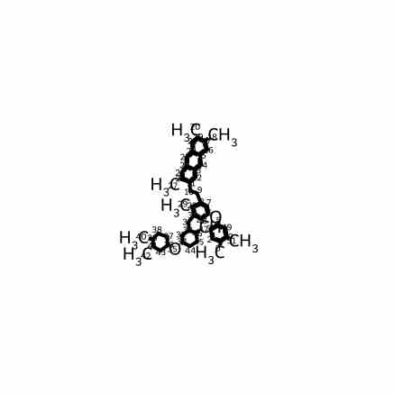 Cc1ccc(Oc2cc(CCc3cc4cc5cc(C)c(C)cc5cc4cc3C)c(C)c(CC3CC(OC4CCC(C)C(C)C4)CCC3C)c2)cc1C